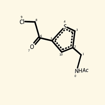 CC(=O)NCc1csc(C(=O)CCl)c1